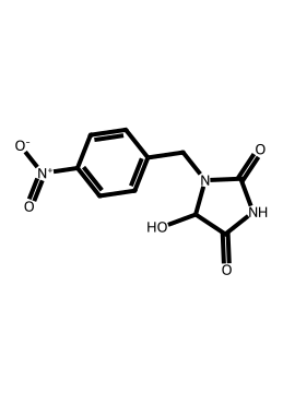 O=C1NC(=O)N(Cc2ccc([N+](=O)[O-])cc2)C1O